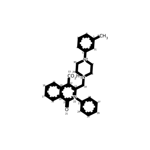 Cc1cccc(N2CCN(Cc3c(C(=O)O)c4ccccc4c(=O)n3-c3ccccc3)CC2)c1